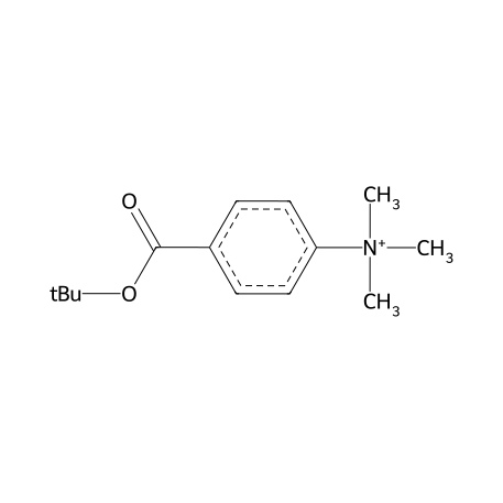 CC(C)(C)OC(=O)c1ccc([N+](C)(C)C)cc1